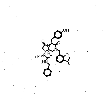 CCCN(C(=O)NCc1ccccc1)N1CC(=O)N2[C@@H](Cc3ccc(O)cc3)C(=O)N(Cc3cccc4c3OCC4C)C[C@@H]21